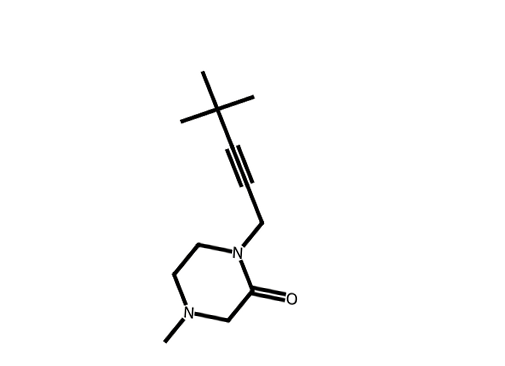 CN1CCN(CC#CC(C)(C)C)C(=O)C1